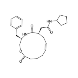 O=C(C[C@H]1C/C=C\CCCC(=O)OC[C@@H](Cc2ccccc2)NC1=O)NC1CCCC1